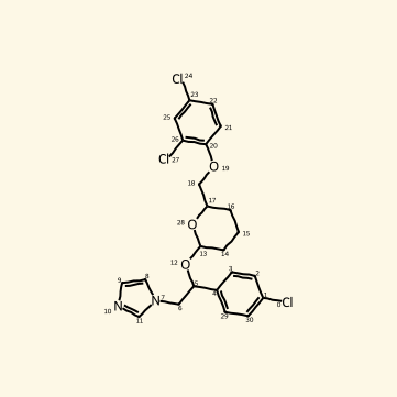 Clc1ccc(C(Cn2ccnc2)OC2CCCC(COc3ccc(Cl)cc3Cl)O2)cc1